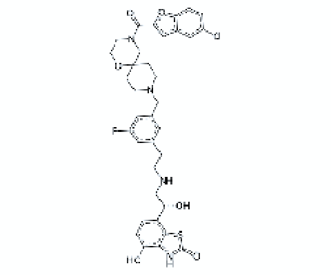 O=C(c1cc2cc(Cl)ccc2o1)N1CCOC2(CCN(Cc3cc(F)cc(CCNC[C@H](O)c4ccc(O)c5[nH]c(=O)sc45)c3)CC2)C1